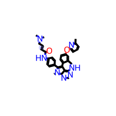 Cc1cccc(Oc2ccc3c(c2)CNc2ncnc4c2c-3c(-c2ccc(NC(=O)/C=C/CN(C)C)cc2)n4C)n1